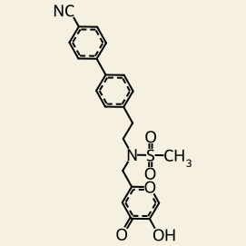 CS(=O)(=O)N(CCc1ccc(-c2ccc(C#N)cc2)cc1)Cc1cc(=O)c(O)co1